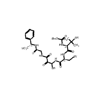 CCCC(NC(=O)[C@H](CC(C)C)NC(=O)[C@@H](NC(=O)OCC(C)C)C(C)(C)S)C(=O)C(=O)NCC(=O)N[C@H](C(=O)O)c1ccccc1